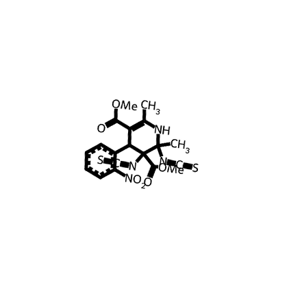 COC(=O)C1=C(C)NC(C)(N=C=S)C(N=C=S)(C(=O)OC)C1c1ccccc1[N+](=O)[O-]